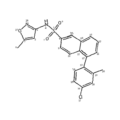 Cc1cc(NS(=O)(=O)c2ccc3c(-c4ccc(Cl)cc4C)cccc3c2)no1